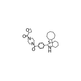 O=C(c1ccc(C2NC3CCCCC3(C3CCCCCCC3)S2)cc1)N1CCN(C(=O)C2CCO2)CC1